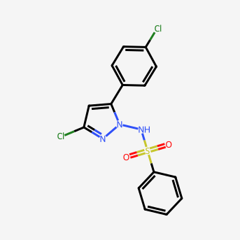 O=S(=O)(Nn1nc(Cl)cc1-c1ccc(Cl)cc1)c1ccccc1